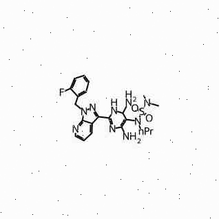 CCCN(C1=C(N)N=C(c2nn(Cc3ccccc3F)c3ncccc23)NC1N)S(=O)(=O)N(C)C